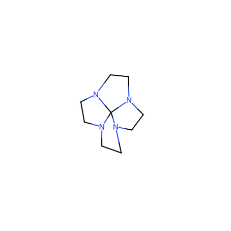 C1CN2CCN3CCN4CCN1C243